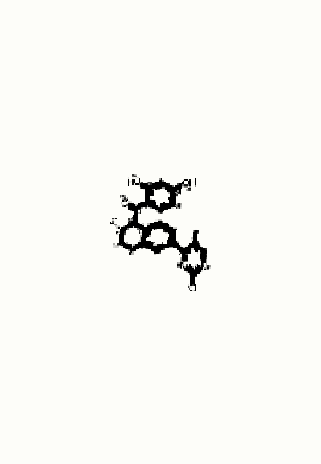 Cc1cnc(Cl)nc1-c1ccc2c(c1)CC[C@H](C)C2C(=O)c1ccc(O)cc1O